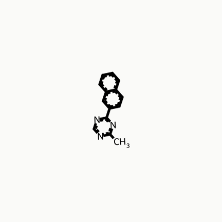 Cc1ncnc(-c2ccc3ccccc3c2)n1